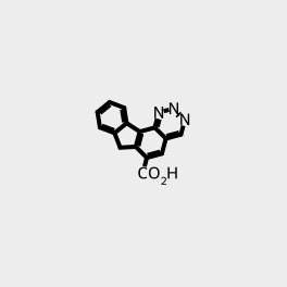 O=C(O)c1cc2cnnnc2c2c1Cc1ccccc1-2